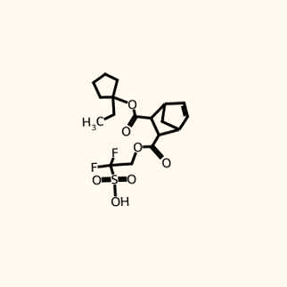 CCC1(OC(=O)C2C3C=CC(C3)C2C(=O)OCC(F)(F)S(=O)(=O)O)CCCC1